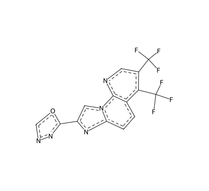 FC(F)(F)c1cnc2c(ccc3nc(-c4nnco4)cn32)c1C(F)(F)F